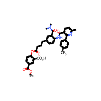 CCC(C)OC(=O)c1ccc(OC(=O)CCCc2ccc(NC(=O)c3ccc(C)nc3-c3ccc(C(F)(F)F)cc3)c(C(=O)N(C)C)c2)c(C(=O)O)c1